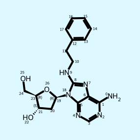 Nc1ncnc2c1nc(NCCc1ccccc1)n2[C@H]1C[C@H](O)[C@@H](CO)O1